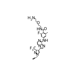 C#CCn1cc(-c2cnc3c(Nc4cc(C)c(C(=O)NCCOCCN)c(F)c4)nccn23)c(C(F)(F)F)n1